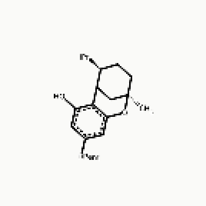 CCCCCc1cc(O)c2c(c1)O[C@]1(C)CC[C@H](C(C)C)C2C1